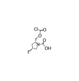 O=C(Cl)OC[C@@H]1C[C@H](F)CN1C(=O)O